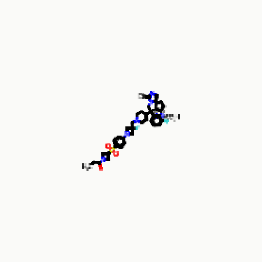 C=CC(=O)N1CC(S(=O)(=O)c2ccc(N3CC(F)(CN4CCC(C(Cn5ccnc5CC)(c5cccc(F)c5)[C@H]5CCC[C@@H]5NC(=O)O)CC4)C3)cc2)C1